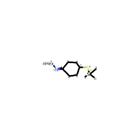 CCCCCCN=C1CCC(S[Si](C)(C)C)CC1